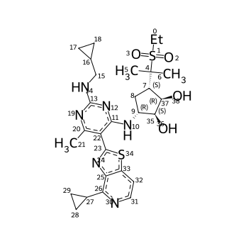 CCS(=O)(=O)C(C)(C)[C@H]1C[C@@H](Nc2nc(NCC3CC3)nc(C)c2-c2nc3c(C4CC4)nccc3s2)[C@H](O)[C@@H]1O